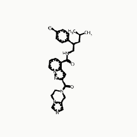 CC(C)CC(CNC(=O)c1cccn2nc(C(=O)N3CCn4cncc4C3)cc12)c1ccc(Cl)cc1